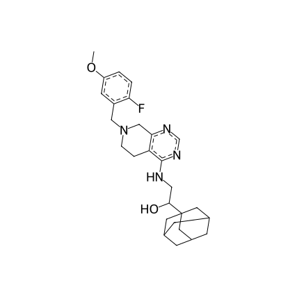 COc1ccc(F)c(CN2CCc3c(ncnc3NCC(O)C34CC5CC(CC(C5)C3)C4)C2)c1